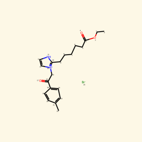 CCOC(=O)CCCCCc1[nH]cc[n+]1CC(=O)c1ccc(C)cc1.[Br-]